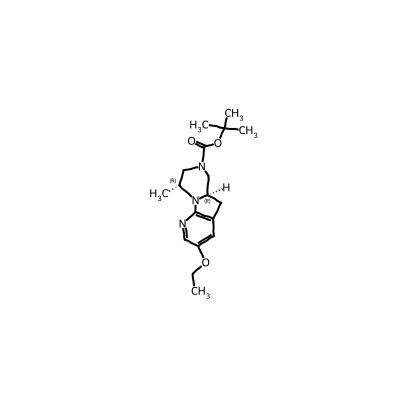 CCOc1cnc2c(c1)C[C@@H]1CN(C(=O)OC(C)(C)C)C[C@@H](C)N21